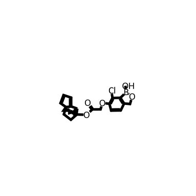 O=C(COc1ccc2c(c1Cl)B(O)OC2)OC1=C2CCCC3(C=CC=C1)C=CC=C23